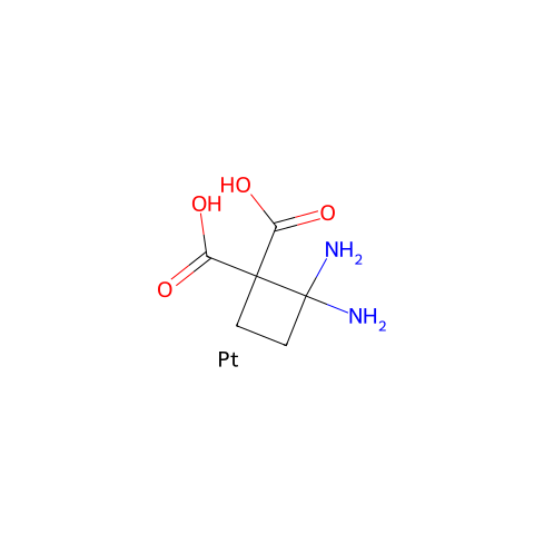 NC1(N)CCC1(C(=O)O)C(=O)O.[Pt]